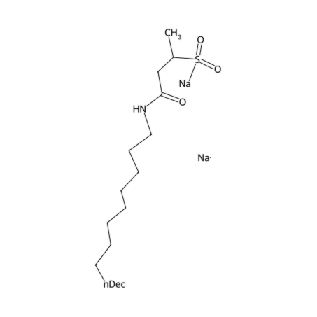 CCCCCCCCCCCCCCCCCCNC(=O)CC(C)[S](=O)(=O)[Na].[Na]